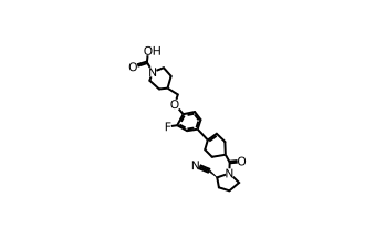 N#C[C@@H]1CCCN1C(=O)C1CC=C(c2ccc(OCC3CCN(C(=O)O)CC3)c(F)c2)CC1